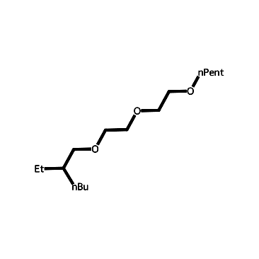 CCCCCOCCOCCOCC(CC)CCCC